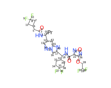 CC(C)[C@H](NC(=O)CC1CC(F)(F)C1)c1cnn2cc([C@@H](NC(=O)c3nonc3OCC(F)F)C3CCC(F)(F)CC3)nc2c1